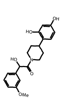 COc1cccc(C(O)C(=O)N2CCC(c3ccc(O)cc3O)CC2)c1